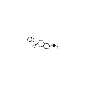 Nc1ccc2c(c1)CCN(C(=O)C1CC3C=CC1C3)C2